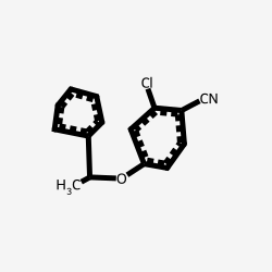 CC(Oc1ccc(C#N)c(Cl)c1)c1ccccc1